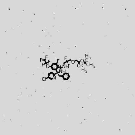 CC(C)(C)OC(=O)COCC(F)(F)CNC(=O)N[C@@](Cc1ccccc1)(c1cc(F)cc(OC(F)(F)C(F)F)c1)c1ccc(Cl)cn1